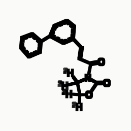 [2H]C1([2H])OC(=O)N(C(=O)/C=C/c2cccc(-c3ccccc3)c2)C1([2H])[2H]